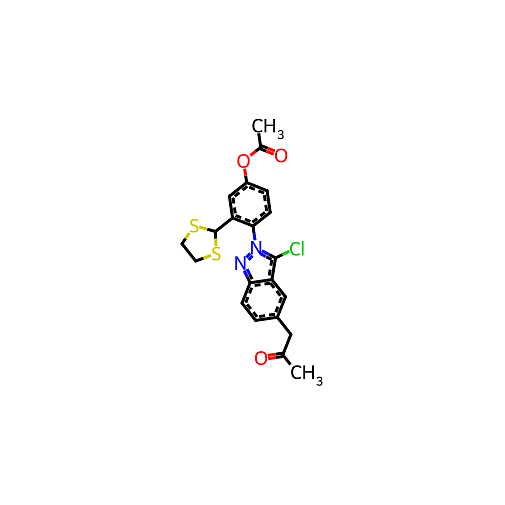 CC(=O)Cc1ccc2nn(-c3ccc(OC(C)=O)cc3C3SCCS3)c(Cl)c2c1